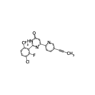 CC#Cc1ccc(-c2cc(=O)[nH]c(-c3c(C(F)(F)F)ccc(Cl)c3F)n2)nc1